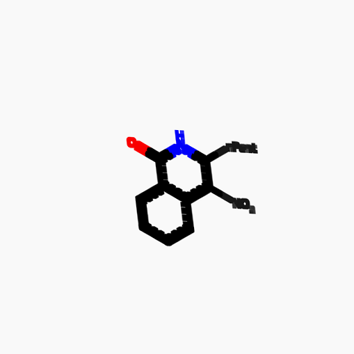 CCCCCc1[nH]c(=O)c2ccccc2c1[N+](=O)[O-]